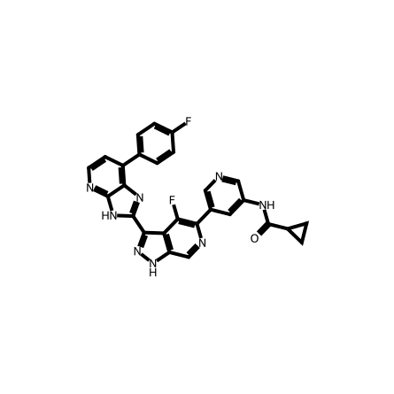 O=C(Nc1cncc(-c2ncc3[nH]nc(-c4nc5c(-c6ccc(F)cc6)ccnc5[nH]4)c3c2F)c1)C1CC1